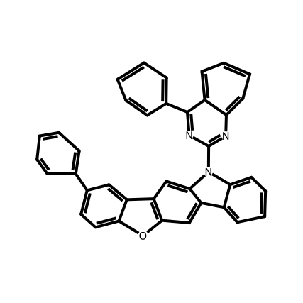 c1ccc(-c2ccc3oc4cc5c6ccccc6n(-c6nc(-c7ccccc7)c7ccccc7n6)c5cc4c3c2)cc1